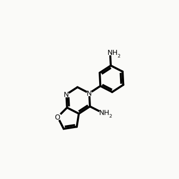 NC1=c2ccoc2=NCN1c1cccc(N)c1